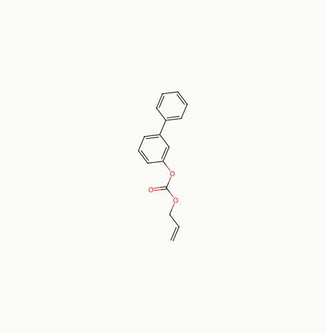 C=CCOC(=O)Oc1cccc(-c2ccccc2)c1